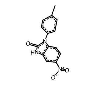 Cc1ccc(-n2c(=O)[nH]c3cc([N+](=O)[O-])ccc32)cc1